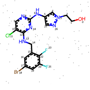 OCCn1cc(Nc2ncc(Cl)c(NCc3cc(Br)cc(F)c3F)n2)cn1